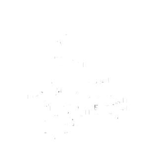 C=C1C[C@H](CCC=O)OC1CC[C@H]1C[C@@H](C)C(=C)C(C[C@@H]2O[C@H](C[C@H](C)CO[Si](C)(C)C(C)(C)C)[C@H](OC)C2CS(=O)(=O)c2ccccc2)O1